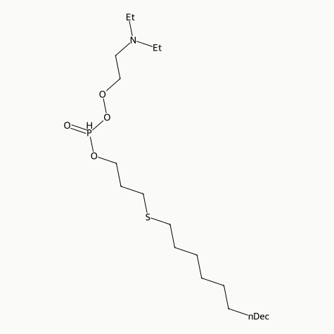 CCCCCCCCCCCCCCCCSCCCO[PH](=O)OOCCN(CC)CC